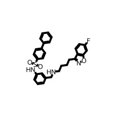 O=S(=O)(Nc1cccc(CNCCCCc2noc3cc(F)ccc23)c1)c1ccc(-c2ccccc2)cc1